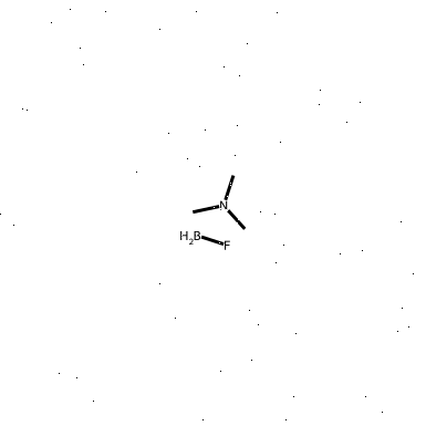 BF.CN(C)C